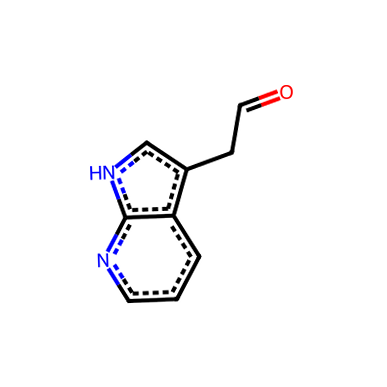 O=CCc1c[nH]c2ncccc12